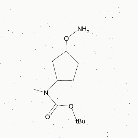 CN(C(=O)OC(C)(C)C)C1CCC(ON)C1